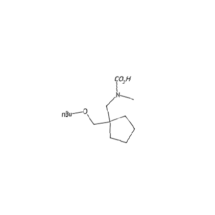 CCCCOCC1(CN(C)C(=O)O)CCCC1